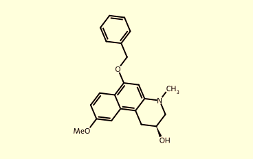 COc1ccc2c(OCc3ccccc3)cc3c(c2c1)C[C@H](O)CN3C